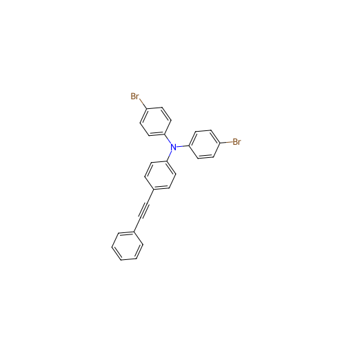 Brc1ccc(N(c2ccc(Br)cc2)c2ccc(C#Cc3ccccc3)cc2)cc1